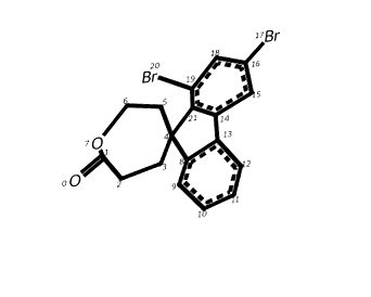 O=C1CCC2(CCO1)c1ccccc1-c1cc(Br)cc(Br)c12